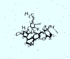 CCN1CC[C@H](Oc2c(C)cc(Cl)cc2-c2ccnc3cc(Cn4c(=O)ccn(C)c4=O)sc23)[C@@H](F)C1